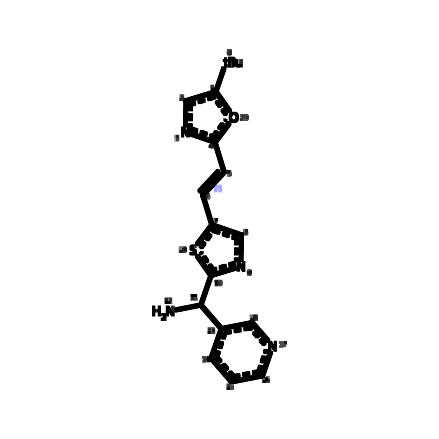 CC(C)(C)c1cnc(/C=C/c2cnc(C(N)c3cccnc3)s2)o1